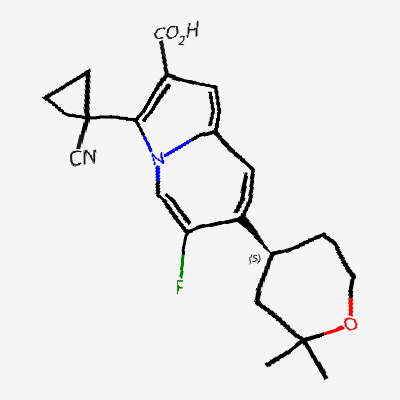 CC1(C)C[C@@H](c2cc3cc(C(=O)O)c(C4(C#N)CC4)n3cc2F)CCO1